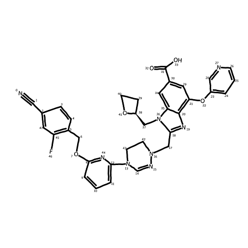 N#Cc1ccc(COc2cccc(N3C=NN(Cc4nc5c(Oc6cccnc6)cc(C(=O)O)cc5n4C[C@@H]4CCO4)CC3)n2)c(F)c1